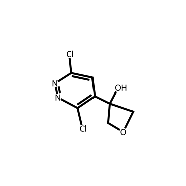 OC1(c2cc(Cl)nnc2Cl)COC1